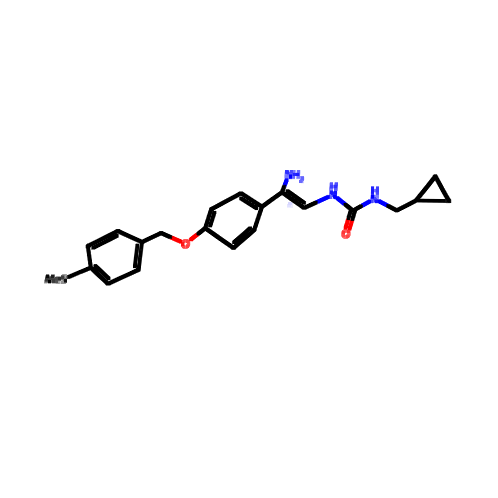 CSc1ccc(COc2ccc(/C(N)=C/NC(=O)NCC3CC3)cc2)cc1